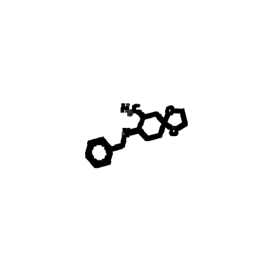 CC1CC2(CCC1=NCc1ccccc1)OCCO2